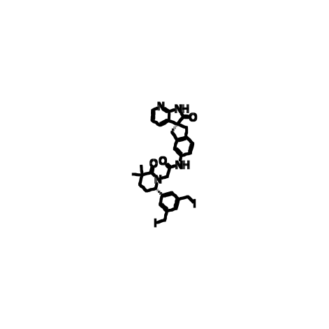 CC1(C)CC[C@@H](c2cc(CI)cc(CI)c2)N(CC(=O)Nc2ccc3c(c2)C[C@@]2(C3)C(=O)Nc3ncccc32)C1=O